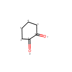 O=C1[CH]CCCC1=O